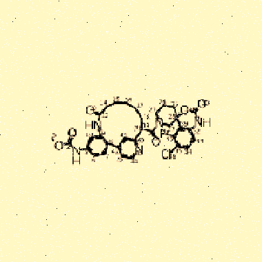 COC(=O)Nc1ccc2c(c1)NC(=O)CCCCC[C@@H](C(=O)N1CCC[C@@]3(C1)OC(=O)Nc1ccc(Cl)c(F)c13)c1cc-2ccn1